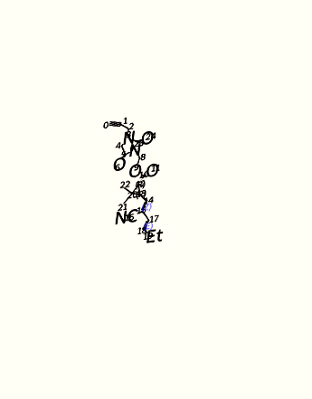 C#CCN1CC(=O)N(COC(=O)[C@@H]2[C@@H](/C=C(C#N)/C=C/CC)C2(C)C)C1=O